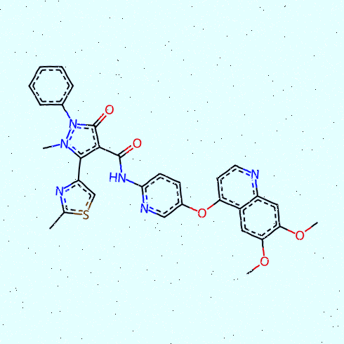 COc1cc2nccc(Oc3ccc(NC(=O)c4c(-c5csc(C)n5)n(C)n(-c5ccccc5)c4=O)nc3)c2cc1OC